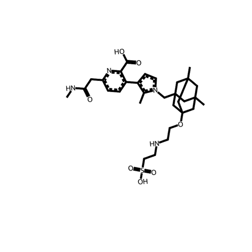 CNC(=O)Cc1ccc(-c2ccn(CC34CC5(C)CC(C)(C3)CC(OCCNCCS(=O)(=O)O)(C5)C4)c2C)c(C(=O)O)n1